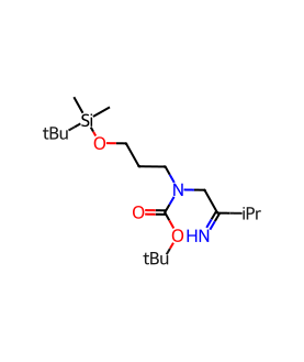 CC(C)C(=N)CN(CCCO[Si](C)(C)C(C)(C)C)C(=O)OC(C)(C)C